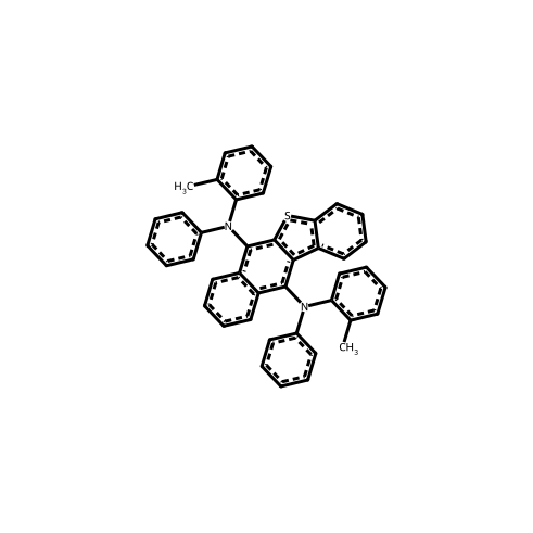 Cc1ccccc1N(c1ccccc1)c1c2ccccc2c(N(c2ccccc2)c2ccccc2C)c2c1sc1ccccc12